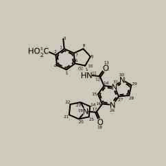 Cc1c(C(=O)O)ccc2c1CC[C@@H]2NC(=O)c1cc(C(=O)N2C3CCC2CC3)nc2ccnn12